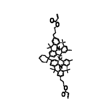 C=CC(=O)OCCCc1cc2c3c(c1)C(C)(C)c1cc(C4(c5cc6c7c(c5)C(C)(C)c5cc(CCCOC(=O)C=C)cc8c5N7c5c(cc(C)cc5C6(C)C)C8(C)C)CCCCC4)cc4c1N3c1c(cc(C)cc1C4(C)C)C2(C)C